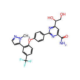 Cn1nccc1-c1cc(C(F)(F)F)ccc1Oc1ccc(-c2nc(C(N)=O)cc(C(O)CO)n2)cc1